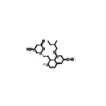 CCC(C)CO[C@H]1CC(=C=O)C=C2C=C[C@H](C)C(CC[C@@H]3C[C@@H](O)CC(=O)O3)C21